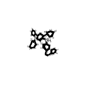 C(=C/c1ccc(Nc2cc3c(cc2-c2ccccc2)c2ccccc2n3-c2ccccc2)cc1)/c1ccccc1